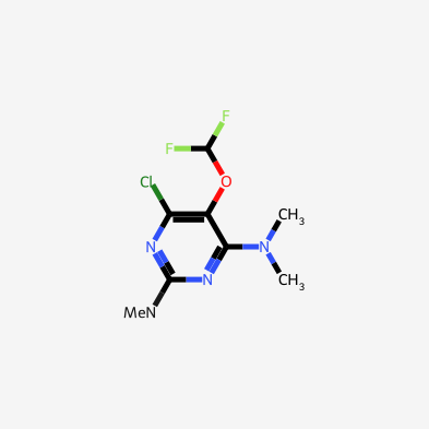 CNc1nc(Cl)c(OC(F)F)c(N(C)C)n1